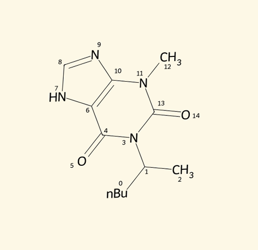 CCCCC(C)n1c(=O)c2[nH]cnc2n(C)c1=O